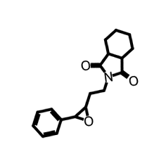 O=C1C2CCCCC2C(=O)N1CCC1OC1c1ccccc1